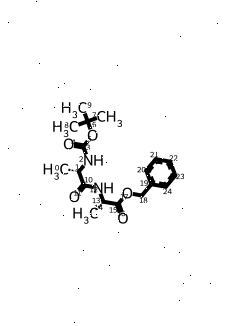 C[C@H](NC(=O)OC(C)(C)C)C(=O)N[C@@H](C)C(=O)OCc1ccccc1